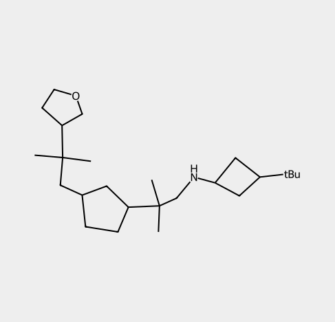 CC(C)(C)C1CC(NCC(C)(C)C2CCC(CC(C)(C)C3CCOC3)C2)C1